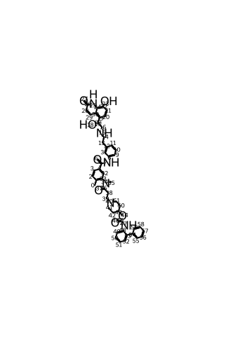 Cc1ccc(C(=O)Nc2cccc(CCNC[C@@H](O)c3ccc(O)c4[nH]c(=O)ccc34)c2)cc1N(C)C(=O)CCN1CCC(OC(=O)Nc2ccccc2-c2ccccc2)CC1